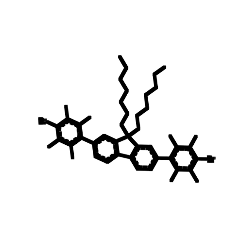 CCCCCCCC1(CCCCCCC)c2cc(-c3c(C)c(C)c(Br)c(C)c3C)ccc2-c2ccc(-c3c(C)c(C)c(Br)c(C)c3C)cc21